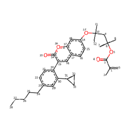 C=C(C)C(=O)OC(C)(C)CC(C)(C)Oc1ccc2cc(-c3ccc(CCCCC)cc3C3CC3)c(=O)oc2c1